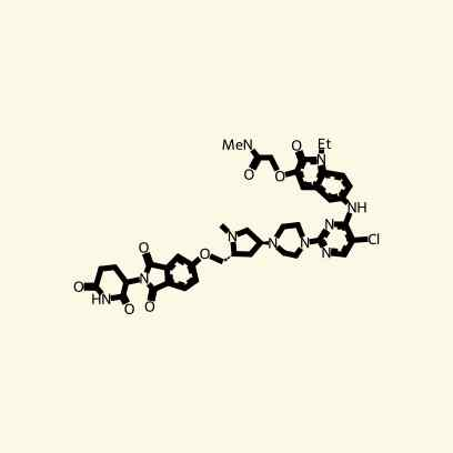 CCn1c(=O)c(OCC(=O)NC)cc2cc(Nc3nc(N4CCN([C@H]5C[C@H](COc6ccc7c(c6)C(=O)N(C6CCC(=O)NC6=O)C7=O)N(C)C5)CC4)ncc3Cl)ccc21